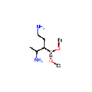 CCO[SiH](OCC)C(CCN)C(C)N